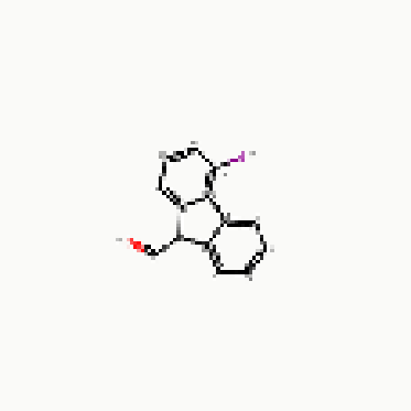 O=CC1c2ccccc2-c2c(I)cccc21